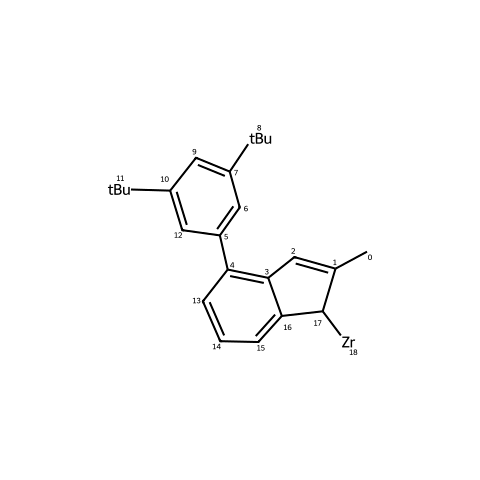 CC1=Cc2c(-c3cc(C(C)(C)C)cc(C(C)(C)C)c3)cccc2[CH]1[Zr]